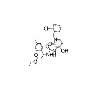 CCOC(=O)C[C@H](NC(=O)Nc1c(O)ccn(Cc2ccccc2Cl)c1=O)c1ccc(C)cc1